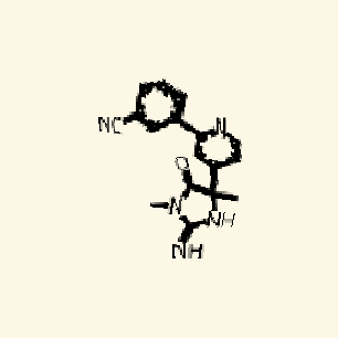 CN1C(=N)NC(C)(c2ccnc(-c3cccc(C#N)c3)c2)C1=O